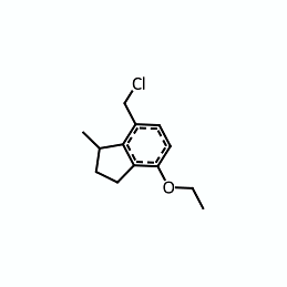 CCOc1ccc(CCl)c2c1CCC2C